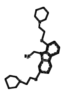 CCn1c2cc(OCCN3CCCCC3)ccc2c2cccc(OCCN3CCCCC3)c21